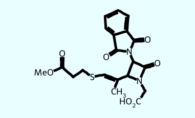 COC(=O)CCSC=C(C)C1C(N2C(=O)c3ccccc3C2=O)C(=O)N1CC(=O)O